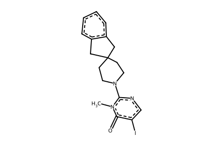 Cn1c(N2CCC3(CC2)Cc2ccccc2C3)ncc(I)c1=O